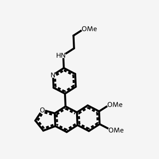 COCCNc1ccc(-c2c3cc(OC)c(OC)cc3cc3ccoc23)cn1